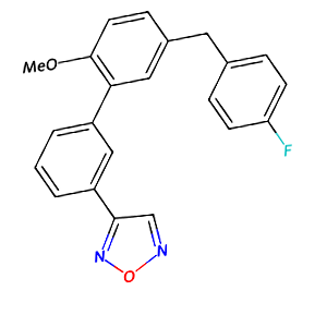 COc1ccc(Cc2ccc(F)cc2)cc1-c1cccc(-c2cnon2)c1